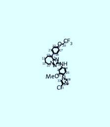 COc1cc(Nc2nc3n(n2)CCCC[C@H]3c2ccc(OCC(F)(F)F)cc2)ccc1-n1cnc(Cl)c1